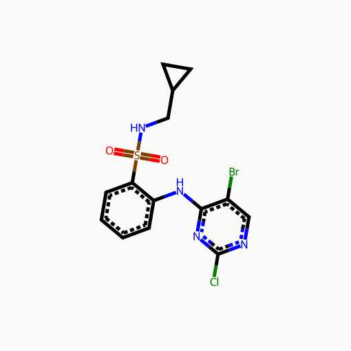 O=S(=O)(NCC1CC1)c1ccccc1Nc1nc(Cl)ncc1Br